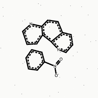 O=[N+]([O-])c1ccccc1.c1cnc2c(c1)ccc1ncccc12